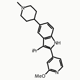 COc1cc(-c2[nH]c3ccc(C4CCN(C)CC4)cc3c2C(C)C)ccn1